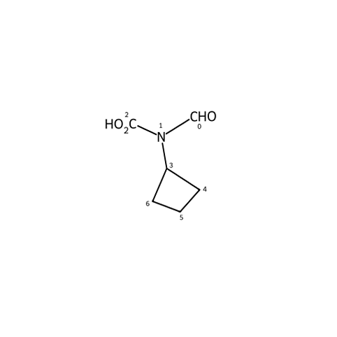 O=CN(C(=O)O)C1CCC1